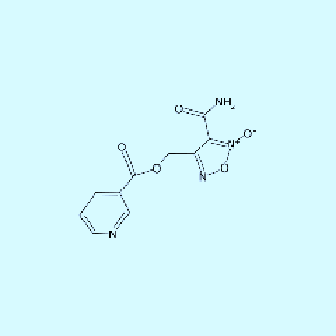 NC(=O)c1c(COC(=O)c2cccnc2)no[n+]1[O-]